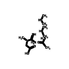 CC(N)=O.CN(CC(=O)O)C(=N)N.CNC.CNC